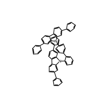 c1ccc(-c2ccc3c4ccc(-c5ccccc5)cc4n(-c4ccc(-c5ccccc5-n5c6cc(-c7ccccc7)ccc6c6ccc(-c7ccccc7)cc65)cc4)c3c2)cc1